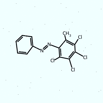 Cc1c(Cl)c(Cl)c(Cl)c(Cl)c1N=Nc1ccccc1